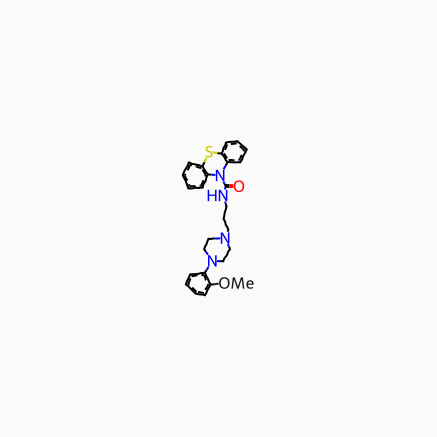 COc1ccccc1N1CCN(CCCNC(=O)N2c3ccccc3Sc3ccccc32)CC1